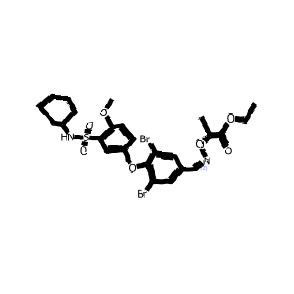 CCOC(=O)C(C)O/N=C\c1cc(Br)c(Oc2ccc(OC)c(S(=O)(=O)NC3CCCCC3)c2)c(Br)c1